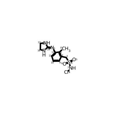 Cc1c(CS(=O)(=O)NCl)cccc1N=C1NCCN1